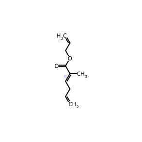 C=CC/C=C(\C)C(=O)OCC=C